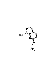 Cc1cccc2ccc(OCC(F)(F)F)nc12